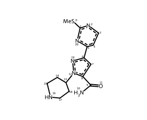 CSc1nccc(-c2cc(C(N)=O)n(C3CCNCC3)n2)n1